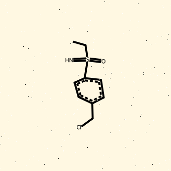 CCS(=N)(=O)c1ccc(CCl)cc1